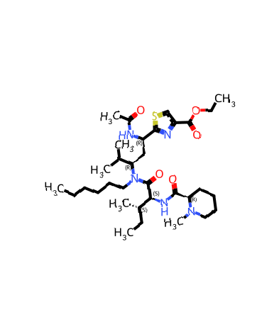 CCCCCCN(C(=O)[C@@H](NC(=O)[C@H]1CCCCN1C)[C@@H](C)CC)[C@H](C[C@@H](NC(C)=O)c1nc(C(=O)OCC)cs1)C(C)C